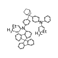 C/C=C\C(=C/CC)N(c1ccccc1)c1ccc(C2(c3ccc(N(C(/C=C\C)=C/CC)c4cccc5c4-c4ccccc4C54c5ccccc5-c5ccccc54)cc3)CC3CCC2C3)cc1